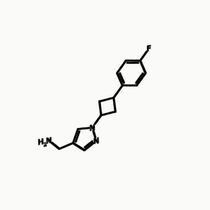 NCc1cnn(C2CC(c3ccc(F)cc3)C2)c1